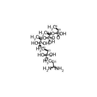 C=CP(=O)(O)O.C=CP(=O)(O)O.C=CP(=O)(O)O.C=CP(=O)(O)O.CCC(N)N